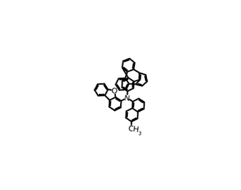 Cc1ccc2c(N(c3ccc4c(c3)-c3c5cccc3-c3cccc-4c3-c3ccccc3-5)c3cccc4c3oc3ccccc34)cccc2c1